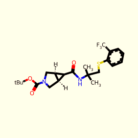 CC(C)(CSc1ccccc1C(F)(F)F)NC(=O)C1[C@H]2CN(C(=O)OC(C)(C)C)C[C@@H]12